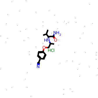 CC(COc1ccc(C#N)cc1)N[C@H](C(N)=O)C(C)C.Cl